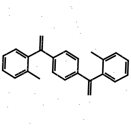 C=C(c1ccc(C(=C)c2ccccc2C)cc1)c1ccccc1C